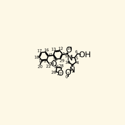 CO/N=C1/CC(CO)N(C(=O)c2ccc(-c3cccc(C)c3C)c(OC3COC3)c2)C1